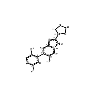 Fc1ccc(F)c(-c2nc3cc(N4CCCC4)nn3cc2F)c1